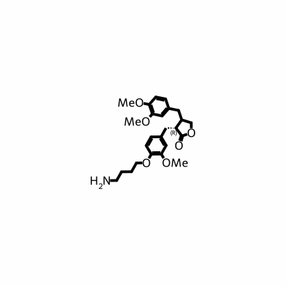 COc1ccc(CC2COC(=O)[C@@H]2Cc2ccc(OCCCCN)c(OC)c2)cc1OC